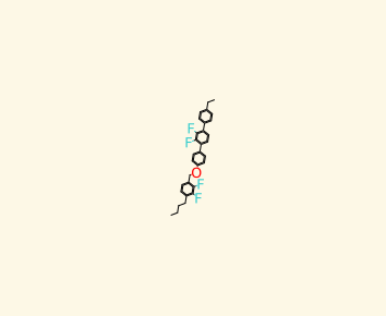 CCCCc1ccc(COc2ccc(-c3ccc(-c4ccc(CC)cc4)c(F)c3F)cc2)c(F)c1F